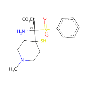 CCOC(=O)[C@](N)(C1(S)CCN(C)CC1)S(=O)(=O)c1ccccc1